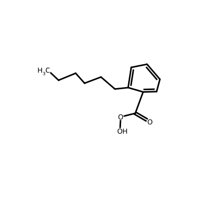 CCCCCCc1ccccc1C(=O)OO